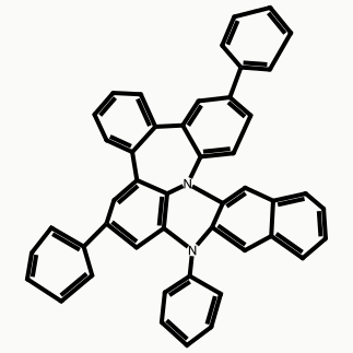 c1ccc(-c2ccc3c(c2)-c2ccccc2-c2cc(-c4ccccc4)cc4c2N3c2cc3ccccc3cc2N4c2ccccc2)cc1